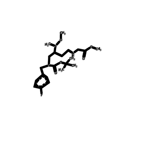 COC(=O)CNCCC(CN(Cc1ccc(F)cc1)C(=O)OC(C)(C)C)N(C)OC